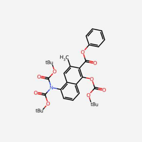 Cc1cc2c(N(C(=O)OC(C)(C)C)C(=O)OC(C)(C)C)cccc2c(OC(=O)OC(C)(C)C)c1C(=O)Oc1ccccc1